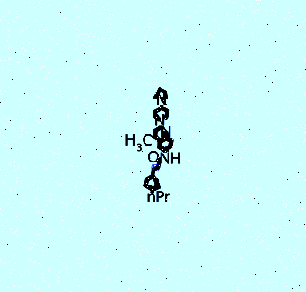 CCCc1ccc(/C=C/C(=O)Nc2ccc3nc(N4CCC(N5CCCC5)CC4)cc(C)c3c2)cc1